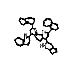 C1=C(c2cc(-c3cccc4ccccc34)nc3c2ccc2c(-c4ccc5ccccc5n4)cc(-c4cccc5ccccc45)nc23)NCc2ccccc21